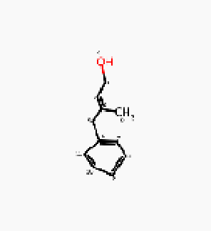 C/C(=C\CO)Cc1ccccc1